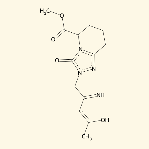 COC(=O)C1CCCc2nn(CC(=N)/C=C(/C)O)c(=O)n21